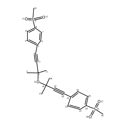 CC(C)(C#Cc1ccc(S(C)(=O)=O)cc1)OC(C)(C)C#Cc1ccc(S(C)(=O)=O)cc1